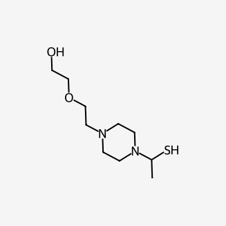 CC(S)N1CCN(CCOCCO)CC1